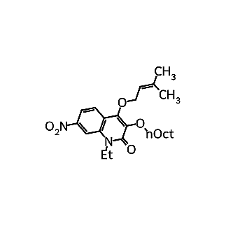 CCCCCCCCOc1c(OCC=C(C)C)c2ccc([N+](=O)[O-])cc2n(CC)c1=O